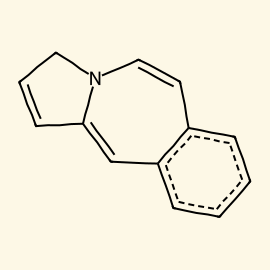 C1=CC2=Cc3ccccc3C=CN2C1